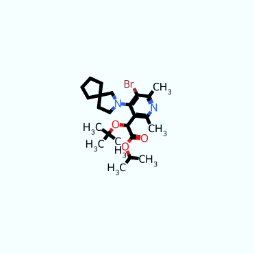 Cc1nc(C)c(C(OC(C)(C)C)C(=O)OC(C)C)c(N2CCC3(CCCC3)C2)c1Br